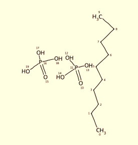 CCCCCCCCCC.O=P(O)(O)O.O=P(O)(O)O